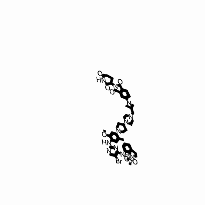 COc1cc(N2CCC(N3CCN(CC4CN(c5ccc6c(c5)C(=O)N(C5CCC(=O)NC5=O)C6=O)C4)CC3)CC2)c(C)cc1Nc1ncc(Br)c(Nc2cccc3c2N(S(C)(=O)=O)CC3)n1